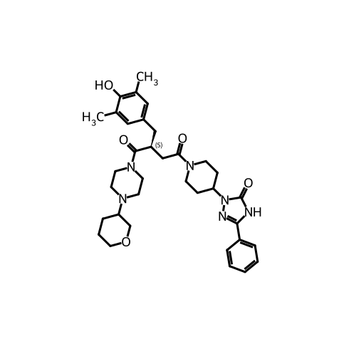 Cc1cc(C[C@@H](CC(=O)N2CCC(n3nc(-c4ccccc4)[nH]c3=O)CC2)C(=O)N2CCN(C3CCCOC3)CC2)cc(C)c1O